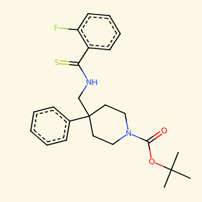 CC(C)(C)OC(=O)N1CCC(CNC(=S)c2ccccc2F)(c2ccccc2)CC1